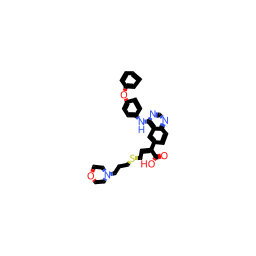 O=C(O)C(=CCSCCCN1CCOCC1)c1ccc2ncnc(Nc3ccc(Oc4ccccc4)cc3)c2c1